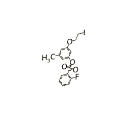 Cc1cc(OCCI)cc(OS(=O)(=O)c2ccccc2F)c1